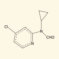 O=CN(c1cc(Cl)ccn1)C1CC1